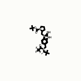 C[C@H](N(Cc1ccc2c(c1)[nH]c(=N)n2CC1CCCN1C(=O)OC(C)(C)C)C(=O)C(F)(F)F)C(C)(C)C